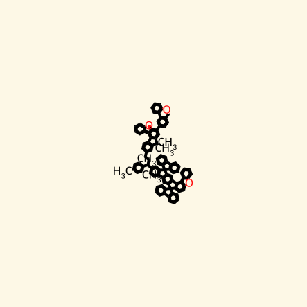 Cc1cc(C)c(C(CCc2ccc3c(c2)C(C)(C)c2cc(-c4ccc5c(c4)-c4ccccc4OC5)c4oc5ccccc5c4c2-3)c2ccc3c(c2)C2(c4ccccc4-c4ccccc42)c2cc4c(cc2-3)C2(c3ccccc3-c3ccccc32)c2ccc3oc5ccccc5c3c2-4)c(C)c1